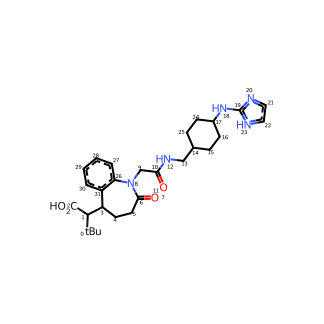 CC(C)(C)C(C(=O)O)C1CCC(=O)N(CC(=O)NCC2CCC(Nc3ncc[nH]3)CC2)c2ccccc21